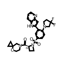 O=C([C@@H]1CCN1S(=O)(=O)c1ccc(N2CCC(F)(F)C2)c(-c2cc3ncccc3[nH]2)c1)N1CCOC2(CC2)C1